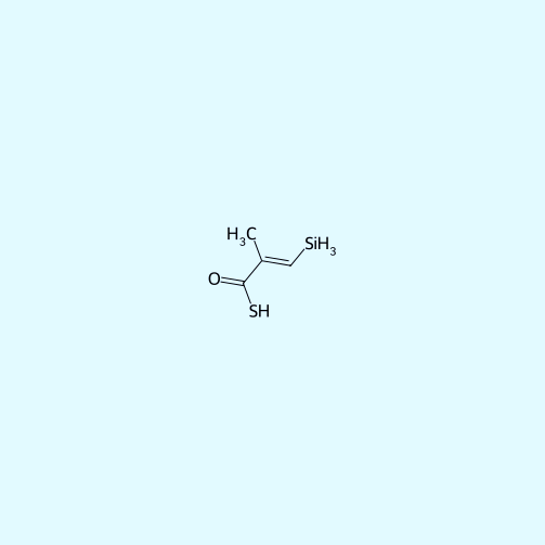 C/C(=C\[SiH3])C(=O)S